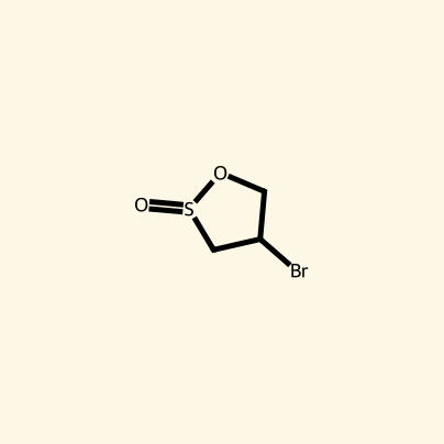 O=S1CC(Br)CO1